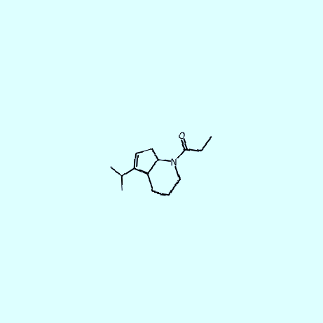 CCC(=O)N1CCCC2C(C(C)C)=CCC21